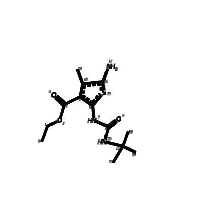 CCOC(=O)c1c(NC(=O)NC(C)(C)C)sc(N)c1C